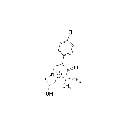 CC(C)(C)C(=O)C(CN1CC(O)C1)c1ccc(Cl)cc1